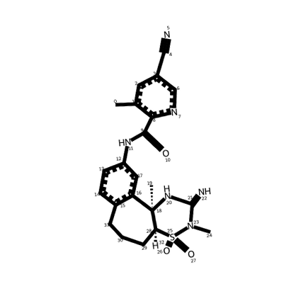 Cc1cc(C#N)cnc1C(=O)Nc1ccc2c(c1)[C@@]1(C)NC(=N)N(C)S(=O)(=O)[C@H]1CCC2